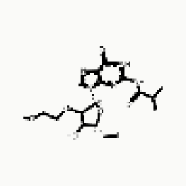 COCCOC1C(O)[C@@H](CI)O[C@H]1n1cnc2c(=O)[nH]c(NC(=O)C(C)C)nc21